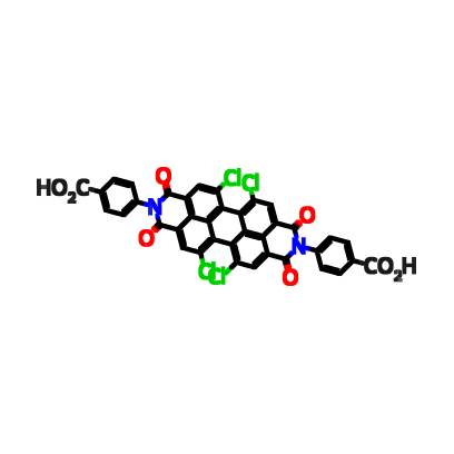 O=C(O)c1ccc(N2C(=O)c3cc(Cl)c4c5c(Cl)cc6c7c(cc(Cl)c(c8c(Cl)cc(c3c48)C2=O)c75)C(=O)N(c2ccc(C(=O)O)cc2)C6=O)cc1